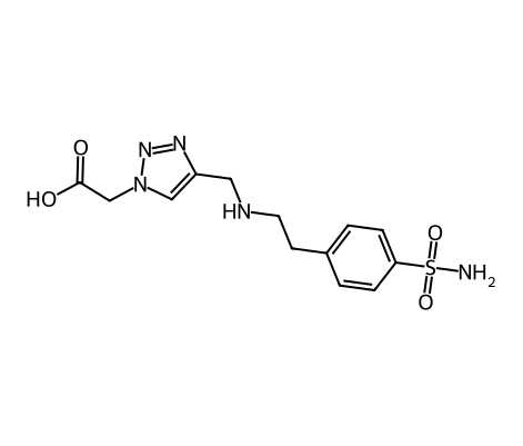 NS(=O)(=O)c1ccc(CCNCc2cn(CC(=O)O)nn2)cc1